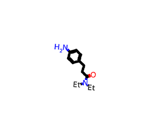 CCN(CC)C(=O)CCc1ccc(N)cc1